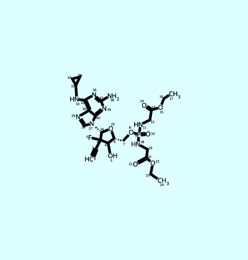 C#CC1(F)C(O)[C@@H](COP(=O)(NCC(=O)OCC)NCC(=O)OCC)O[C@H]1n1cnc2c(NC3CC3)nc(N)nc21